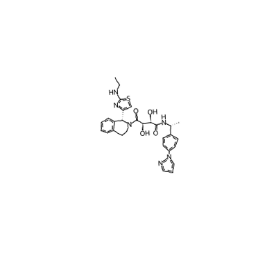 CCNc1nc([C@H]2c3ccccc3CCN2C(=O)[C@H](O)[C@@H](O)C(=O)N[C@H](C)c2ccc(-n3cccn3)cc2)cs1